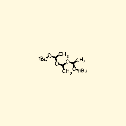 CCCCOC(C)OC(C)OC(C)OCCCC